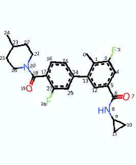 Cc1c(F)cc(C(=O)NC2CC2)cc1-c1ccc(C(=O)N2CCC(C)CC2)c(F)c1